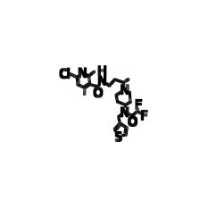 Cc1cc(Cl)nc(C)c1C(=O)NCC[C@@H](C)N1CCC(N(Cc2ccsc2)C(=O)C(F)F)CC1